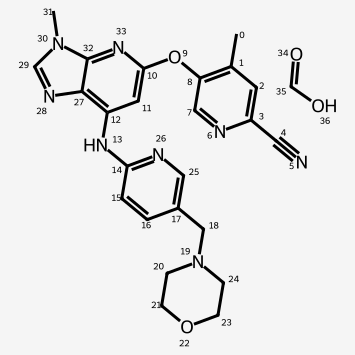 Cc1cc(C#N)ncc1Oc1cc(Nc2ccc(CN3CCOCC3)cn2)c2ncn(C)c2n1.O=CO